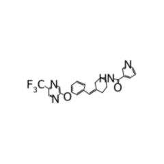 O=C(NC1CCC(=Cc2cccc(Oc3cnc(C(F)(F)F)cn3)c2)CC1)c1cccnc1